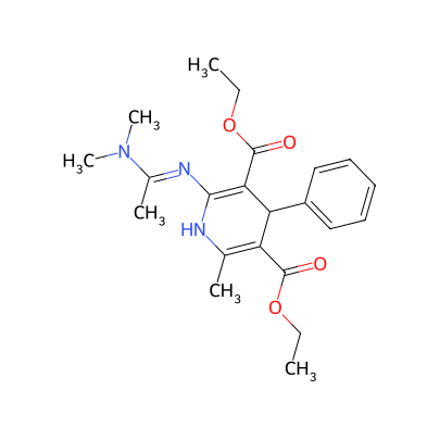 CCOC(=O)C1=C(C)NC(/N=C(\C)N(C)C)=C(C(=O)OCC)C1c1ccccc1